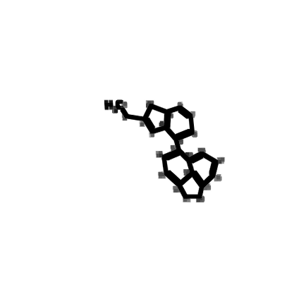 CCC1=Cc2c(cccc2-c2ccc3c4c(cccc24)CC3)[CH]1